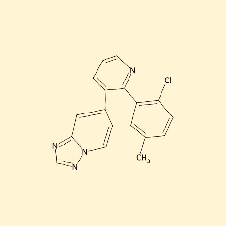 Cc1ccc(Cl)c(-c2ncccc2-c2ccn3ncnc3c2)c1